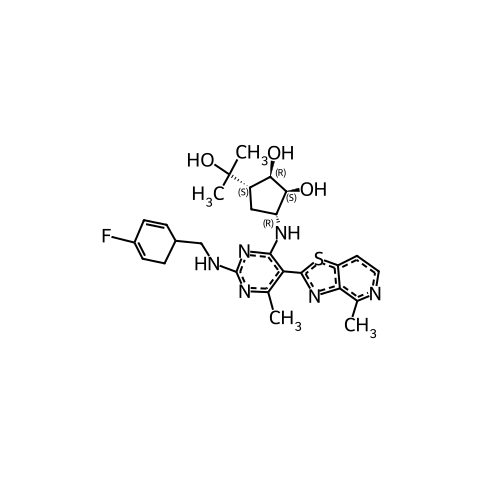 Cc1nc(NCC2C=CC(F)=CC2)nc(N[C@@H]2C[C@H](C(C)(C)O)[C@@H](O)[C@H]2O)c1-c1nc2c(C)nccc2s1